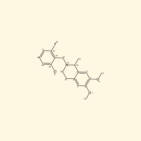 COc1cc2c(cc1OC)C(C)N(Cc1c(F)cccc1Cl)CC2